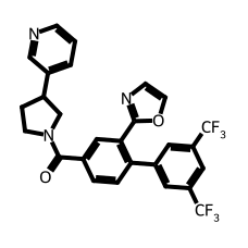 O=C(c1ccc(-c2cc(C(F)(F)F)cc(C(F)(F)F)c2)c(-c2ncco2)c1)N1CCC(c2cccnc2)C1